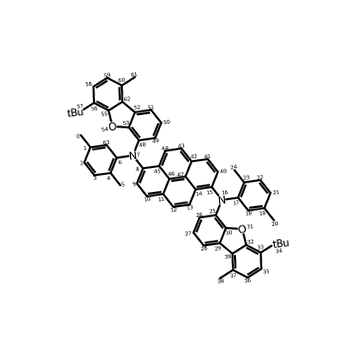 Cc1ccc(C)c(N(c2ccc3ccc4c(N(c5cc(C)ccc5C)c5cccc6c5oc5c(C(C)(C)C)ccc(C)c56)ccc5ccc2c3c54)c2cccc3c2oc2c(C(C)(C)C)ccc(C)c23)c1